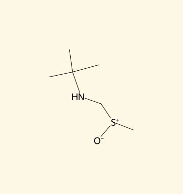 C[S+]([O-])CNC(C)(C)C